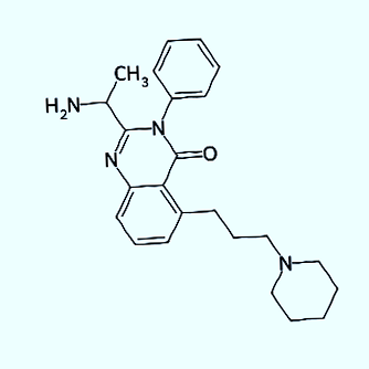 CC(N)c1nc2cccc(CCCN3CCCCC3)c2c(=O)n1-c1ccccc1